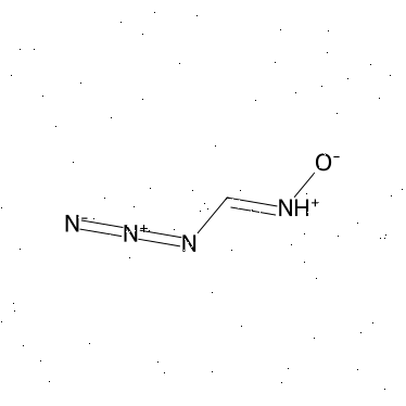 [N-]=[N+]=NC=[NH+][O-]